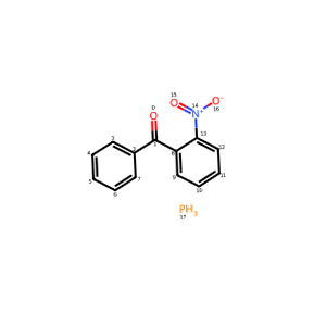 O=C(c1ccccc1)c1ccccc1[N+](=O)[O-].P